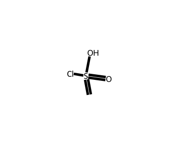 C=S(=O)(O)Cl